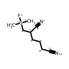 CS(C)(F)CC(C#N)CCCC#N